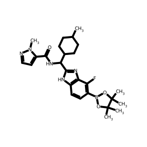 CC1CCC(C(NC(=O)c2ccnn2C)c2nc3c(F)c(B4OC(C)(C)C(C)(C)O4)ccc3[nH]2)CC1